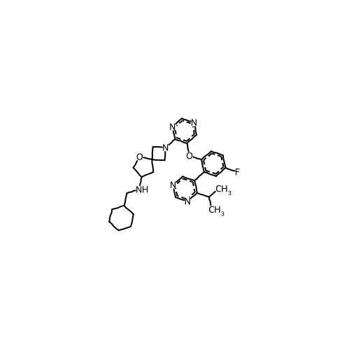 CC(C)c1ncncc1-c1cc(F)ccc1Oc1cncnc1N1CC2(CC(NCC3CCCCC3)CO2)C1